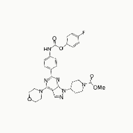 COC(=O)N1CCC(n2ncc3c(N4CCOCC4)nc(-c4ccc(NC(=O)Oc5ccc(F)cc5)cc4)nc32)CC1